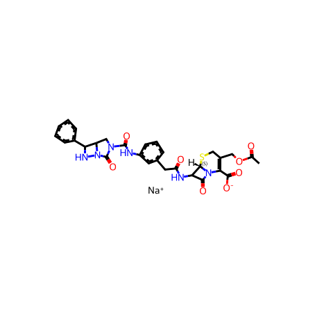 CC(=O)OCC1=C(C(=O)[O-])N2C(=O)C(NC(=O)Cc3cccc(NC(=O)N4CC5C(c6ccccc6)NN5C4=O)c3)[C@@H]2SC1.[Na+]